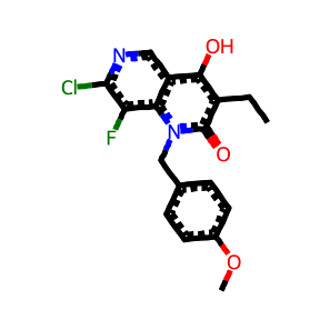 CCc1c(O)c2cnc(Cl)c(F)c2n(Cc2ccc(OC)cc2)c1=O